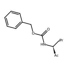 CC(=O)[C@@H](NC(=O)OCc1ccccc1)C(C)C